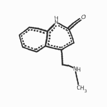 CNCc1cc(=O)[nH]c2ccccc12